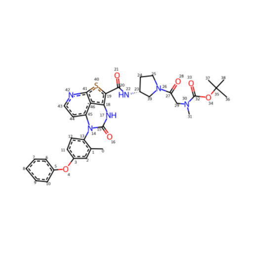 Cc1cc(Oc2ccccc2)ccc1N1C(=O)Nc2c(C(=O)N[C@@H]3CCN(C(=O)CN(C)C(=O)OC(C)(C)C)C3)sc3nccc1c23